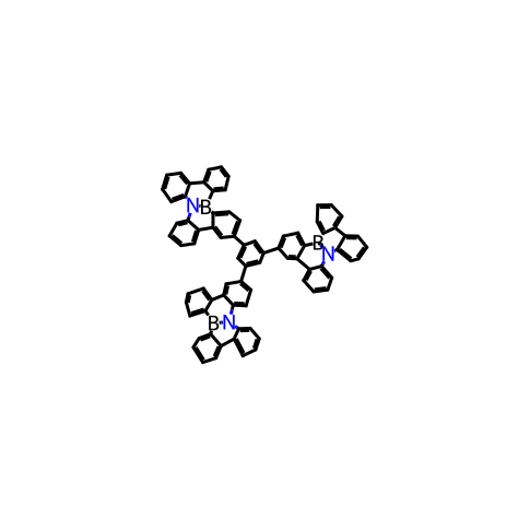 c1ccc2c(c1)B1c3ccc(-c4cc(-c5ccc6c(c5)-c5ccccc5N5B6c6ccccc6-c6ccccc65)cc(-c5ccc6c(c5)-c5ccccc5B5c7ccccc7-c7ccccc7N56)c4)cc3-c3ccccc3N1c1ccccc1-2